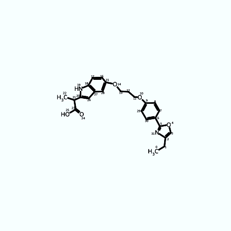 CCc1coc(-c2ccc(OCCCOc3ccc4[nH]c(C(C)C(=O)O)cc4c3)cc2)n1